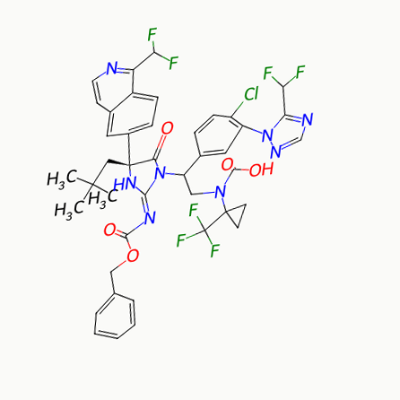 CC(C)(C)C[C@]1(c2ccc3c(C(F)F)nccc3c2)NC(=NC(=O)OCc2ccccc2)N(C(CN(C(=O)O)C2(C(F)(F)F)CC2)c2ccc(Cl)c(-n3ncnc3C(F)F)c2)C1=O